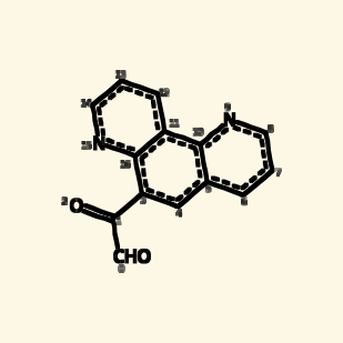 O=CC(=O)c1cc2cccnc2c2cccnc12